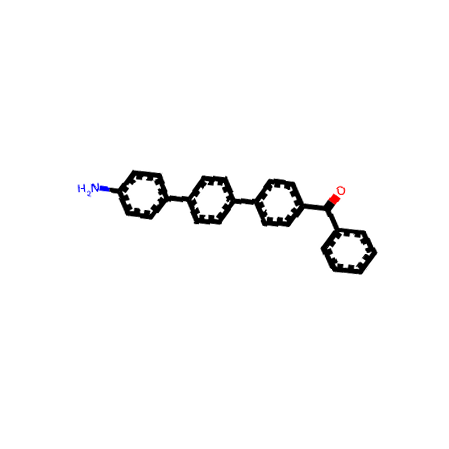 Nc1ccc(-c2ccc(-c3ccc(C(=O)c4ccccc4)cc3)cc2)cc1